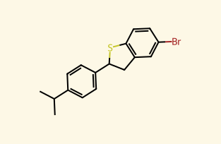 CC(C)c1ccc(C2Cc3cc(Br)ccc3S2)cc1